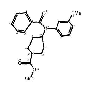 COc1cccc(N(C(=O)c2ccccc2)C2CCN(C(=O)OC(C)(C)C)CC2)c1